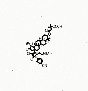 CNCCn1c(C23CC[C@]4(C)[C@H](CC[C@@H]5[C@@]6(C)CC[C@H](OC(=O)CC(C)(C)C(=O)O)C(C)(C)[C@@H]6CC[C@]54C)C2=C(C(C)C)C(=O)C3)c(Cl)c(=O)n1-c1ccc(C#N)cc1